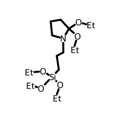 CCOC1(OCC)CCCN1CCC[Si](OCC)(OCC)OCC